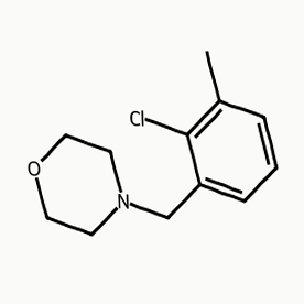 Cc1cccc(CN2CCOCC2)c1Cl